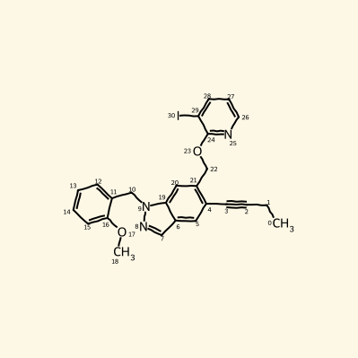 CCC#Cc1cc2cnn(Cc3ccccc3OC)c2cc1COc1ncccc1I